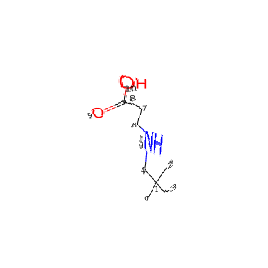 CC(C)(C)CNCCC(=O)O